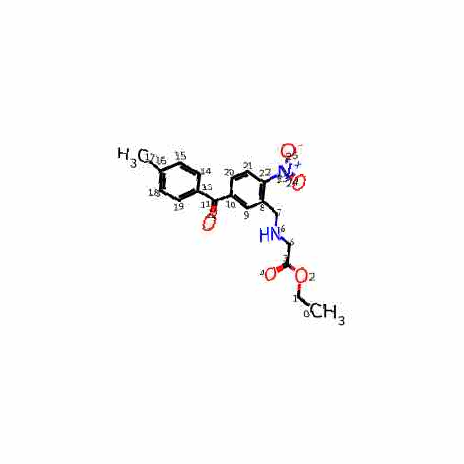 CCOC(=O)CNCc1cc(C(=O)c2ccc(C)cc2)ccc1[N+](=O)[O-]